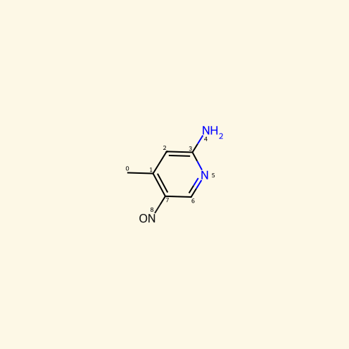 Cc1cc(N)ncc1N=O